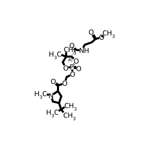 COC(=O)CCNC(=O)[C@@H]1OP(=O)(OCOC(=O)C2CC(C(C)(C)C)CN2C)OCC1(C)C